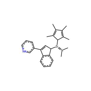 CC1=C(C)[CH]([Zr]([CH]2C=C(c3cccnc3)c3ccccc32)=[Si](C)C)C(C)=C1C